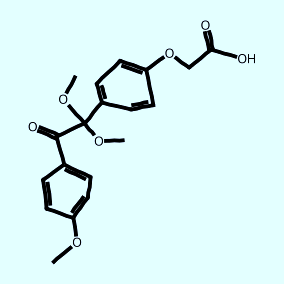 COc1ccc(C(=O)C(OC)(OC)c2ccc(OCC(=O)O)cc2)cc1